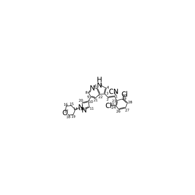 N#C/C(=C\c1c[nH]c2ncc(-c3cnn(C4CCOCC4)c3)cc12)c1c(Cl)cccc1Cl